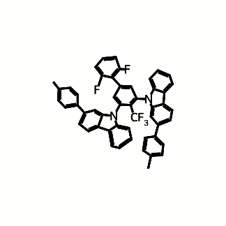 Cc1ccc(-c2ccc3c4ccccc4n(-c4cc(-c5c(F)cccc5F)cc(-n5c6ccccc6c6ccc(-c7ccc(C)cc7)cc65)c4C(F)(F)F)c3c2)cc1